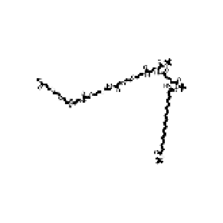 COC(=O)CCOCCOCC[N+](C)(C)CCNC(=O)COCCOCCNC(=O)COCCOCCNC(=O)CC[C@H](NC(=O)CC[C@H](NC(=O)CCCCCCCCCCCCCCCCC(=O)OC(C)(C)C)C(=O)OC(C)(C)C)C(=O)OC(C)(C)C